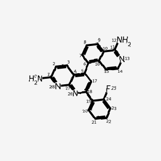 Nc1ccc2c(-c3cccc4c(N)nccc34)cc(-c3ccccc3F)nc2n1